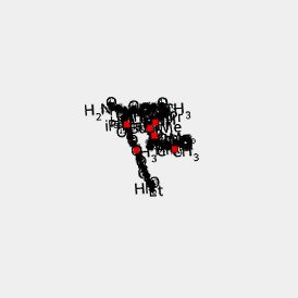 CCNC(=O)CCOCCOCCOCCOCCC(=O)NC(C(=O)N[C@@H](CCCNC(N)=O)C(=O)Nc1ccc(COC(=O)N(C)C(C(=O)N[C@H](C(=O)N(C)C([C@@H](C)CC)[C@@H](CC(=O)N2CCC[C@H]2[C@H](OC)[C@@H](C)C(=O)N[C@H](C)C(O)c2ccccc2)OC)C(C)C)C(C)C)cc1)C(C)C